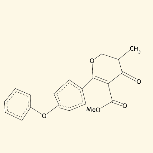 COC(=O)C1=C(c2ccc(Oc3ccccc3)cc2)OCC(C)C1=O